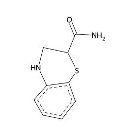 NC(=O)C1CNc2ccccc2S1